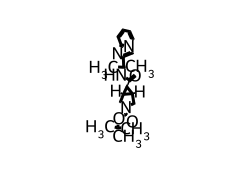 CC(C)(C)OC(=O)N1C[C@@H]2[C@H](C1)[C@H]2C(=O)NC(C)(C)c1cn2ccccc2n1